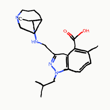 Cc1ccc2c(c(CNC3CN4CCC3CC4)nn2CC(C)C)c1C(=O)O